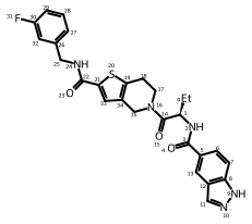 CC[C@@H](NC(=O)c1ccc2[nH]ncc2c1)C(=O)N1CCc2sc(C(=O)NCc3cccc(F)c3)cc2C1